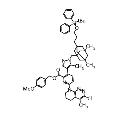 COc1ccc(COC(=O)c2nc(N3CCCc4c3nnc(Cl)c4C)ccc2-c2cnn(CC34CC5(C)CC(C)(CC(CCCO[Si](c6ccccc6)(c6ccccc6)C(C)(C)C)(C5)C3)C4)c2C)cc1